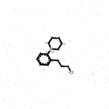 ClCCCc1ccccc1N1CCCCC1